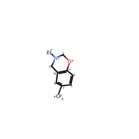 CCN1COc2ccc(C(F)(F)F)cc2C1